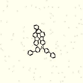 c1ccc(-c2ccc(N(c3ccc(-c4ccccc4)cc3)c3ccc4c(c3)C3(c5ccccc5-c5ccc(-c6ccccc6)cc53)c3c-4ccc4ccccc34)cc2)cc1